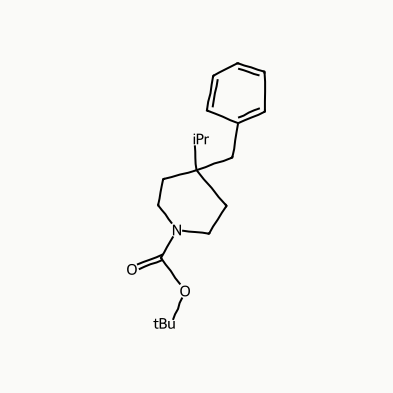 CC(C)C1(Cc2ccccc2)CCN(C(=O)OC(C)(C)C)CC1